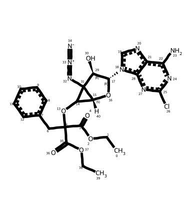 CCOC(=O)C(Cc1ccccc1)(OC1[C@H]2O[C@@H](n3cnc4c(N)nc(Cl)nc43)[C@H](O)C12N=[N+]=[N-])C(=O)OCC